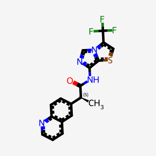 C[C@H](C(=O)Nc1ncn2c(C(F)(F)F)csc12)c1ccc2ncccc2c1